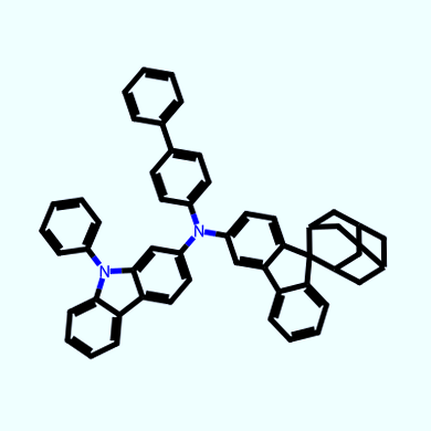 c1ccc(-c2ccc(N(c3ccc4c(c3)-c3ccccc3C43C4CC5CC(C4)CC3C5)c3ccc4c5ccccc5n(-c5ccccc5)c4c3)cc2)cc1